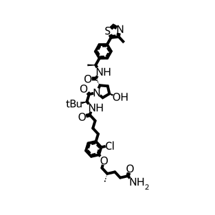 Cc1ncsc1-c1ccc([C@H](C)NC(=O)[C@@H]2C[C@@H](O)CN2C(=O)[C@@H](NC(=O)CCCc2cccc(OC[C@@H](C)CCC(N)=O)c2Cl)C(C)(C)C)cc1